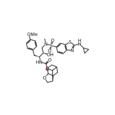 COc1ccc(C[C@H](NC(=O)OC2C3COC4OCC2C4C3)[C@H](O)CN(C)S(=O)(=O)c2ccc3nc(NC4CC4)sc3c2)cc1